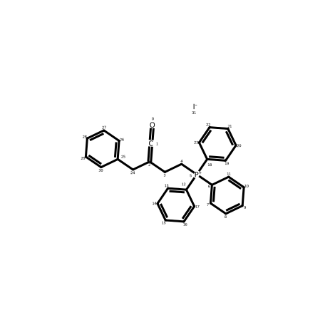 O=C=C(CC[P+](c1ccccc1)(c1ccccc1)c1ccccc1)Cc1ccccc1.[I-]